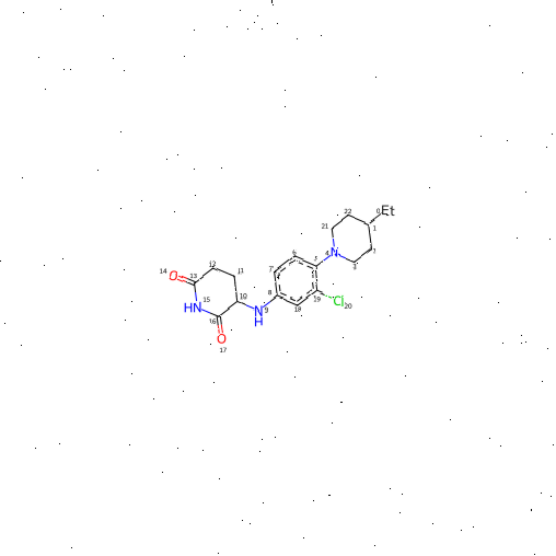 CCC1CCN(c2ccc(NC3CCC(=O)NC3=O)cc2Cl)CC1